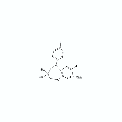 CCCCC1(CCCC)CSc2cc(OC)c(I)cc2C(c2ccc(F)cc2)C1